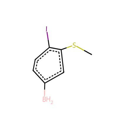 Bc1ccc(I)c(SC)c1